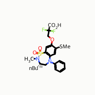 CCCC[C@H]1CN(c2ccccc2)c2cc(SC)c(OCC(F)(F)C(=O)O)cc2S(=O)(=O)N1C